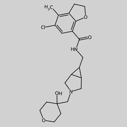 Cc1c(Cl)cc(C(=O)NCC2C3CN(CC4(O)CCOCC4)CC23)c2c1CCO2